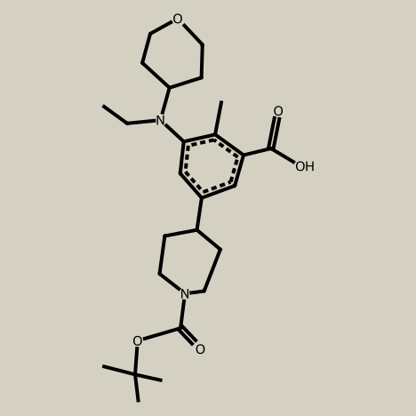 CCN(c1cc(C2CCN(C(=O)OC(C)(C)C)CC2)cc(C(=O)O)c1C)C1CCOCC1